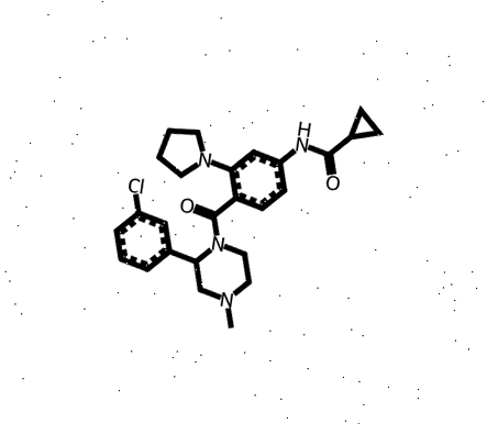 CN1CCN(C(=O)c2ccc(NC(=O)C3CC3)cc2N2CCCC2)C(c2cccc(Cl)c2)C1